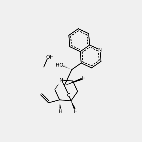 C=C[C@H]1C[N@]2CC[C@H]1C[C@H]2[C@H](O)c1ccnc2ccccc12.CO